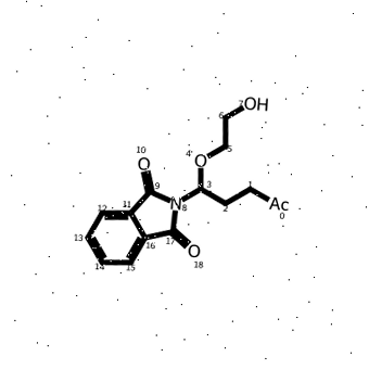 CC(=O)CCC(OCCO)N1C(=O)c2ccccc2C1=O